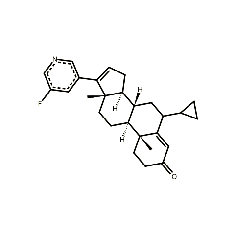 C[C@]12CCC(=O)C=C1C(C1CC1)C[C@@H]1[C@@H]2CC[C@]2(C)C(c3cncc(F)c3)=CC[C@@H]12